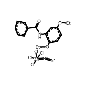 CCOc1ccc(OCC)c(NC(=O)c2ccccc2)c1.[N-]=[N+]=[Zn]([Cl])([Cl])([Cl])[Cl]